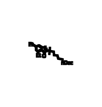 CCCCCCCCCCCCCCCC(C)(C)n1sc2cc(CC)cc(CC)c2c1=O